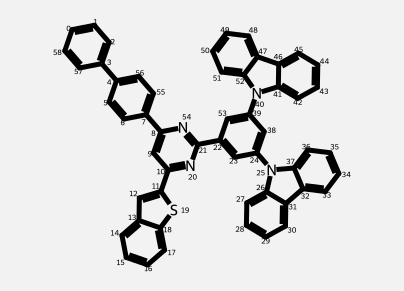 c1ccc(-c2ccc(-c3cc(-c4cc5ccccc5s4)nc(-c4cc(-n5c6ccccc6c6ccccc65)cc(-n5c6ccccc6c6ccccc65)c4)n3)cc2)cc1